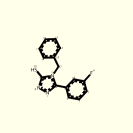 Fc1cccc(-c2nnc(S)n2Cc2ccccc2)c1